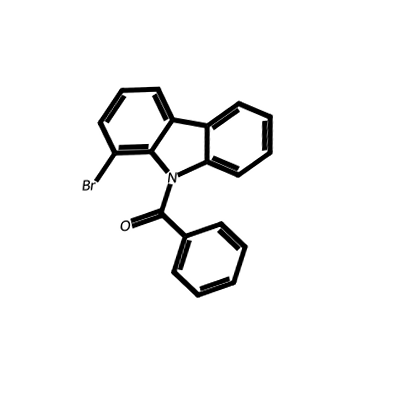 O=C(c1ccccc1)n1c2ccccc2c2cccc(Br)c21